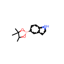 CC1OB(c2ccc3[nH]ccc3c2)OC1(C)C